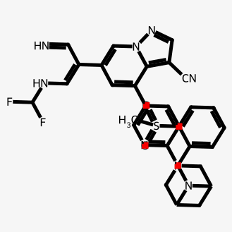 CS(=O)(=O)c1ccccc1CN1C2CC1CN(c1ccc(-c3cc(/C(C=N)=C/NC(F)F)cn4ncc(C#N)c34)cn1)C2